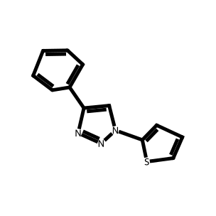 c1ccc(-c2cn(-c3cccs3)nn2)cc1